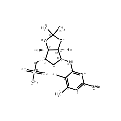 CSc1nc(C)c(I)c(N[C@@H]2C[C@H](CS(C)(=O)=O)[C@H]3OC(C)(C)O[C@H]32)n1